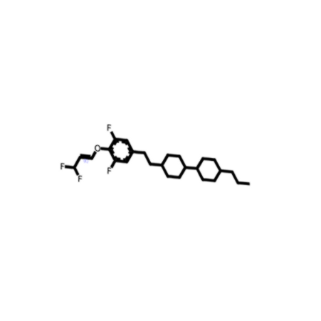 CCCC1CCC(C2CCC(CCc3cc(F)c(O/C=C/C(F)F)c(F)c3)CC2)CC1